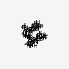 CC(C)n1ncnc1C(=O)N[C@H](c1nc2c(F)c([C@@H](C(=O)NCC(C)(F)F)C(F)C(F)F)ccc2[nH]1)C1CCC(F)(F)CC1.CC(C)n1ncnc1C(=O)N[C@H](c1nc2c(F)c([C@H](C(=O)NCC(C)(F)F)C(F)C(F)F)ccc2[nH]1)C1CCC(F)(F)CC1